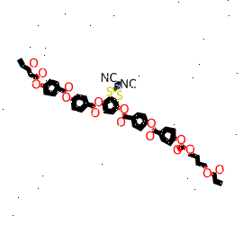 [C-]#[N+]/C(C#N)=C1/Sc2c(OC(=O)c3ccc(OC(=O)c4ccc(OC(=O)CC(=O)C=C)cc4)cc3)ccc(OC(=O)c3ccc(OC(=O)c4ccc(OC(=O)OCCCCOC(=O)C=C)cc4)cc3)c2S1